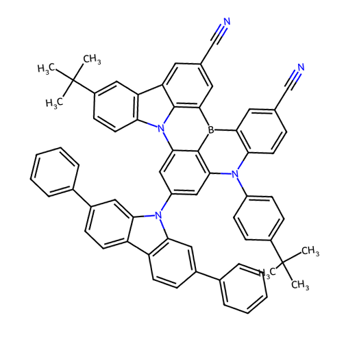 CC(C)(C)c1ccc(N2c3ccc(C#N)cc3B3c4c2cc(-n2c5cc(-c6ccccc6)ccc5c5ccc(-c6ccccc6)cc52)cc4-n2c4ccc(C(C)(C)C)cc4c4cc(C#N)cc3c42)cc1